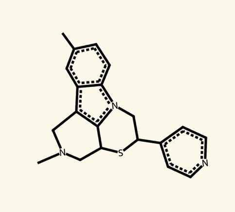 Cc1ccc2c(c1)c1c3n2CC(c2ccncc2)SC3CN(C)C1